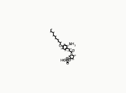 CCCCCCCCCOc1ccc(CCC(=O)N2CCC(OP(=O)(O)O)C2)cc1.N